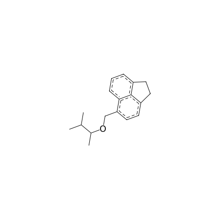 CC(C)C(C)OCc1ccc2c3c(cccc13)CC2